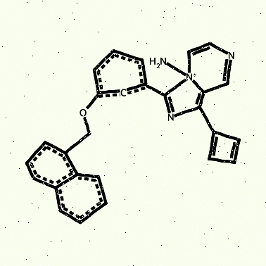 N[N+]12C=CN=CC1=C(C1=CC=C1)N=C2c1cccc(OCc2cccc3ccccc23)c1